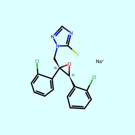 [Na+].[S-]c1ncnn1C[C@@]1(c2ccccc2Cl)O[C@H]1c1ccccc1Cl